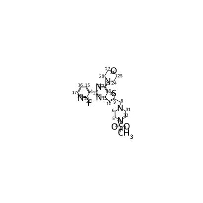 CS(=O)(=O)N1CCN(Cc2cc3nc(-c4cccnc4F)nc(N4CCOCC4)c3s2)CC1